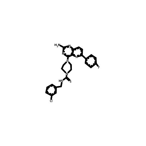 Nc1nc(N2CCN(C(=S)NCc3cccc(Cl)c3)CC2)c2nc(-c3ccc(F)cc3)ccc2n1